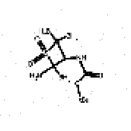 BC1(B)C(NC(=O)OC(C)(C)C)C(B)(B)S1(=O)=O